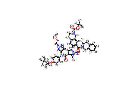 COCCn1cc(N(C(=O)c2cc(-c3cc4c(cc3C(=O)N3Cc5ccccc5C[C@H]3C)CN(C(=O)OC(C)(C)C)CC4)n(C)c2C)c2ccc(O[Si](C)(C)C(C)(C)C)cc2)cn1